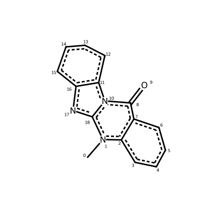 Cn1c2ccccc2c(=O)n2c3ccccc3nc12